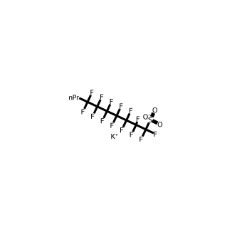 CCCC(F)(F)C(F)(F)C(F)(F)C(F)(F)C(F)(F)C(F)(F)C(F)(F)S(=O)(=O)[O-].[K+]